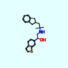 CC(C)(CC1Cc2ccccc2C1)NCC(O)c1ccc2ccsc2c1